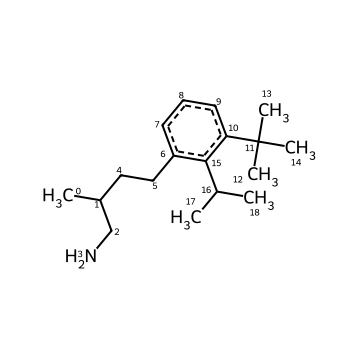 CC(CN)CCc1cccc(C(C)(C)C)c1C(C)C